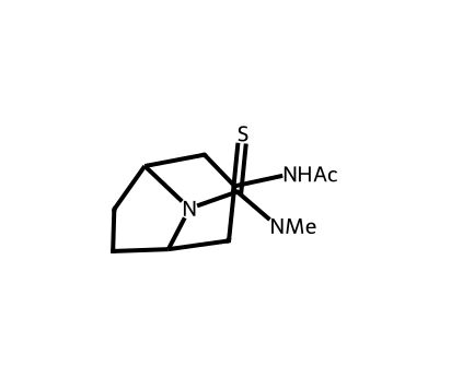 CNC(=S)N1C2CCC1CC(NC(C)=O)C2